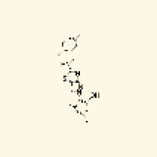 Cc1cc(C)c(-n2cc3sc(NC[C@H]4CN(C)CC[C@H]4F)nc3n2)c(O)c1